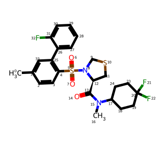 Cc1ccc(S(=O)(=O)N2CSC[C@H]2C(=O)N(C)C2CCC(F)(F)CC2)c(-c2ccccc2F)c1